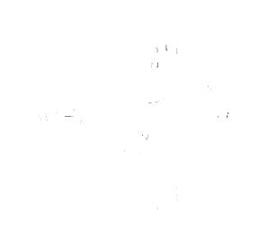 CNc1cc2c(-c3cc(COC)cc(C4CCOC4)n3)cn(C)c2cn1